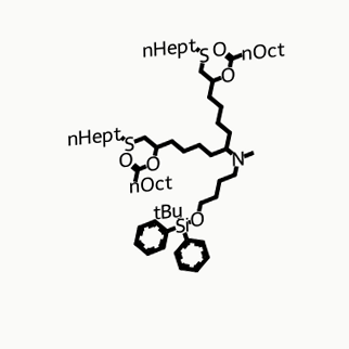 CCCCCCCCC(=O)OC(CCCCC(CCCCC(CSCCCCCCC)OC(=O)CCCCCCCC)N(C)CCCCO[Si](c1ccccc1)(c1ccccc1)C(C)(C)C)CSCCCCCCC